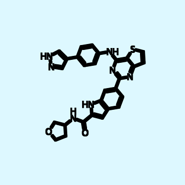 O=C(NC1CCOC1)c1cc2ccc(-c3nc(Nc4ccc(-c5cn[nH]c5)cc4)c4sccc4n3)cc2[nH]1